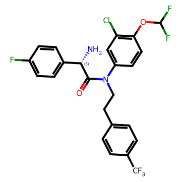 N[C@H](C(=O)N(CCc1ccc(C(F)(F)F)cc1)c1ccc(OC(F)F)c(Cl)c1)c1ccc(F)cc1